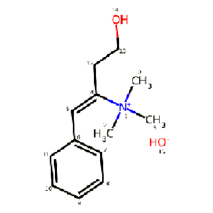 C[N+](C)(C)C(=Cc1ccccc1)CCO.[OH-]